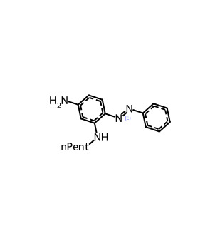 CCCCCNc1cc(N)ccc1/N=N/c1ccccc1